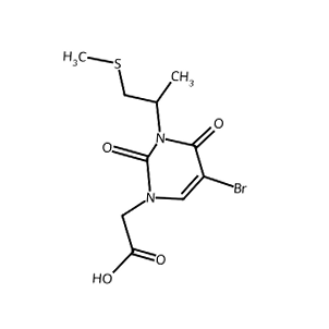 CSCC(C)n1c(=O)c(Br)cn(CC(=O)O)c1=O